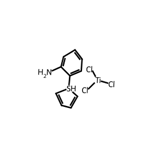 Nc1ccccc1[SH]1C=CC=C1.[Cl][Ti]([Cl])[Cl]